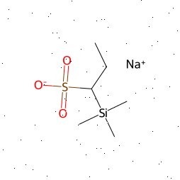 CCC([Si](C)(C)C)S(=O)(=O)[O-].[Na+]